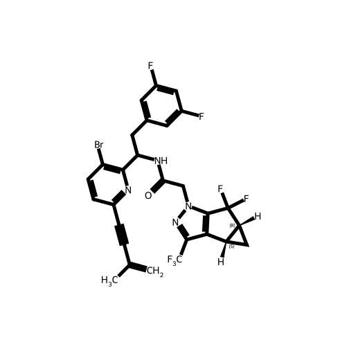 C=C(C)C#Cc1ccc(Br)c(C(Cc2cc(F)cc(F)c2)NC(=O)Cn2nc(C(F)(F)F)c3c2C(F)(F)[C@@H]2C[C@H]32)n1